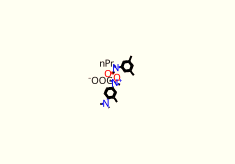 CCCN(C(=O)O[N+](C)(C(=O)[O-])c1ccc(N(C)C)c(C)c1)c1cc(C)cc(C)c1